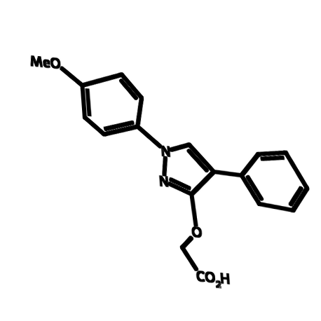 COc1ccc(-n2cc(-c3ccccc3)c(OCC(=O)O)n2)cc1